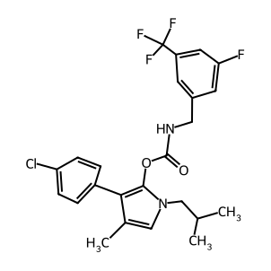 Cc1cn(CC(C)C)c(OC(=O)NCc2cc(F)cc(C(F)(F)F)c2)c1-c1ccc(Cl)cc1